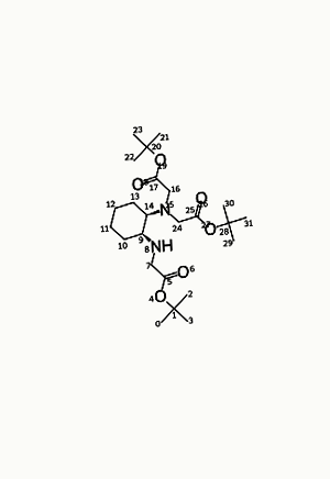 CC(C)(C)OC(=O)CN[C@H]1CCCC[C@H]1N(CC(=O)OC(C)(C)C)CC(=O)OC(C)(C)C